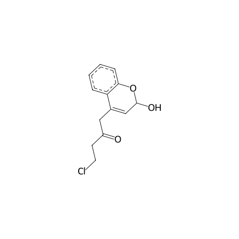 O=C(CCCl)CC1=CC(O)Oc2ccccc21